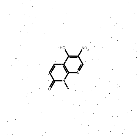 Cn1c(=O)ccc2c(O)c([N+](=O)[O-])cnc21